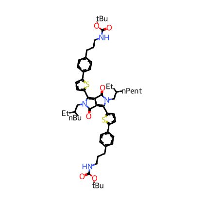 CCCCCC(CC)CN1C(=O)C2=C(c3ccc(-c4ccc(CCCNC(=O)OC(C)(C)C)cc4)s3)N(CC(CC)CCCC)C(=O)C2=C1c1ccc(-c2ccc(CCCNC(=O)OC(C)(C)C)cc2)s1